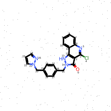 O=c1c2c(Cl)nc3ccccc3c2[nH]n1Cc1ccc(Cn2cccn2)cc1